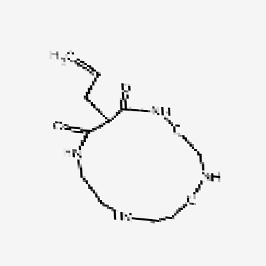 C=CCC1C(=O)NCCNCCCNCCNC1=O